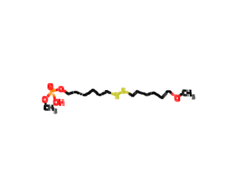 COCCCCCCSSCCCCCCOP(=O)(O)OC